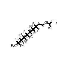 FC(F)(F)C(Cl)OCCC(F)(F)C(F)(F)C(F)(F)C(F)(F)C(F)(F)C(F)(F)C(F)(F)C(F)(F)F